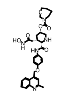 Cc1cc(COc2ccc(NC(=O)[C@H]3NC[C@@H](OC(=O)N4CCCCCC4)C[C@H]3CC(=O)NO)cc2)c2ccccc2n1